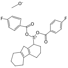 C[O-].O=C([O][Ti+]([O]C(=O)c1ccc(F)cc1)[CH]1CCCC2=C1CC1=C2CCCC1)c1ccc(F)cc1